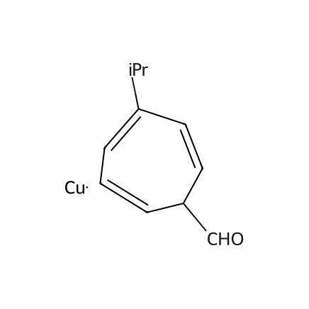 CC(C)C1=CC=CC(C=O)C=C1.[Cu]